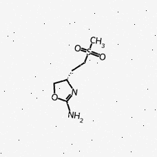 CS(=O)(=O)CC[C@H]1COC(N)=N1